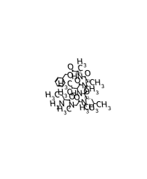 CCC(N)C(=O)N(C)CC(=O)N(C)[C@@H](CC(C)C)C(=O)NC(C(=O)N(C)[C@@H](C)C(=O)N[C@@H](C)C(=O)OCc1ccccc1)C(C)C